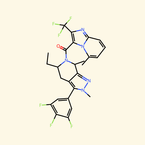 CCC1Cc2c(nn(C)c2-c2cc(F)c(F)c(F)c2)C(C)N1C(=O)c1c(C(F)(F)F)nc2cccc(C)n12